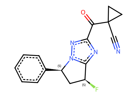 N#CC1(C(=O)c2nc3n(n2)[C@H](c2ccccc2)C[C@@H]3F)CC1